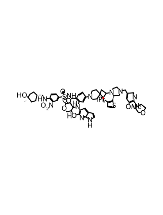 COc1cc(CN2CCN(C3CC4(CCN(c5ccc(C(=O)NS(=O)(=O)c6ccc(NC[C@H]7CC[C@](C)(O)CC7)c([N+](=O)[O-])c6)c(N6c7cc8cc[nH]c8nc7O[C@H]7COCC[C@@H]76)c5)CC4)C3C)[C@H](c3sccc3C(C)C)C2)cnc1N1CCOCC1